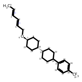 C/C=C/C=C/CO[C@H]1CC[C@H](C2CCC(c3ccc(C(F)(F)F)cc3)CC2)CC1